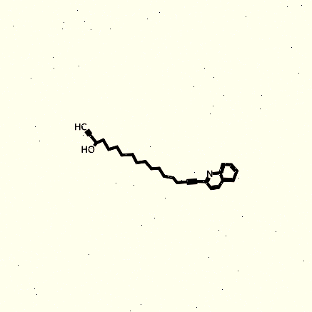 C#CC(O)CCCCCCCCCCCCC#Cc1ccc2ccccc2n1